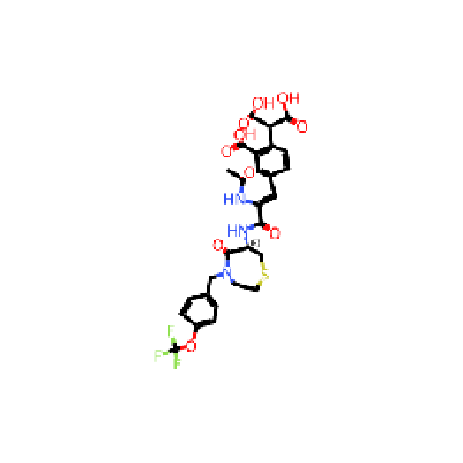 CC(=O)NC(=Cc1ccc(C(C(=O)O)C(=O)O)c(C(=O)O)c1)C(=O)N[C@H]1CSCCN(Cc2ccc(OC(F)(F)F)cc2)C1=O